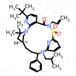 C=CCN1C(=O)c2ccc(C(C)(C)C)nc2N2C[C@@H](CCC(c3ccccc3)N(CC(C)C)c3cccc(n3)S1(=O)=O)CC2(C)C